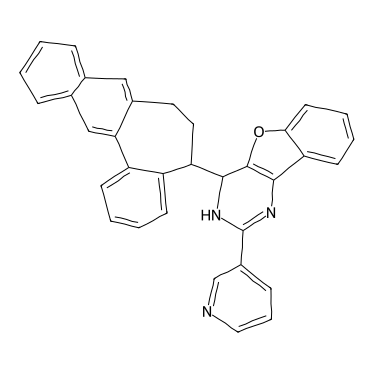 c1cncc(C2=Nc3c(oc4ccccc34)C(C3CCc4cc5ccccc5cc4-c4ccccc43)N2)c1